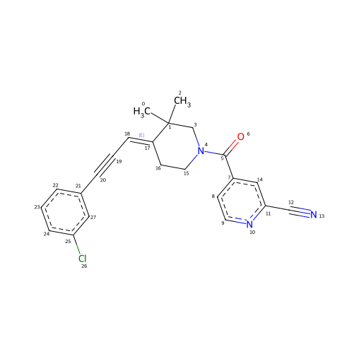 CC1(C)CN(C(=O)c2ccnc(C#N)c2)CC/C1=C\C#Cc1cccc(Cl)c1